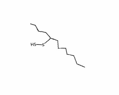 CCCCCCCC(CCCC)SS